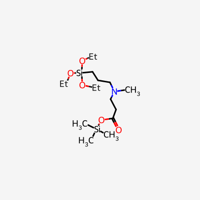 CCO[Si](CCCN(C)CCC(=O)O[Si](C)(C)C)(OCC)OCC